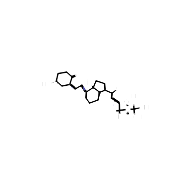 C=C1CC[C@H](O)C/C1=C/C=C1\CCC[C@]2(C)C(C(C)/C=C/C(F)(F)S(=O)(=O)C(C)(C)C)CC[C@@H]12